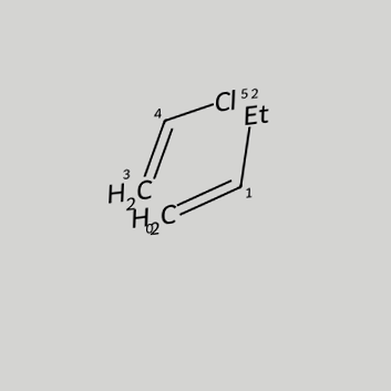 C=CCC.C=CCl